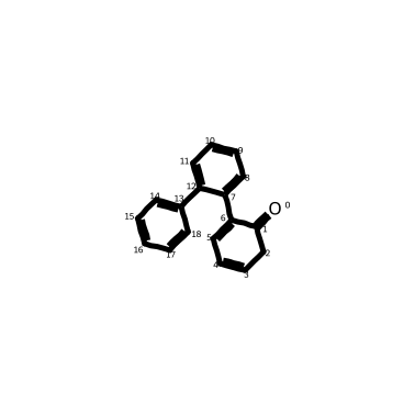 O=C1CC=CC=C1c1ccccc1-c1ccccc1